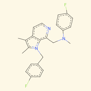 Cc1c(C)n(Cc2ccc(F)cc2)c2c(CN(C)c3ccc(F)cc3)nccc12